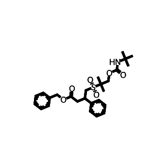 CC(C)(C)NC(=O)OCC(C)(C)S(=O)(=O)CC(CC(=O)OCc1ccccc1)c1ccccc1